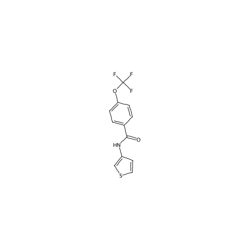 O=C(Nc1ccsc1)c1ccc(OC(F)(F)F)cc1